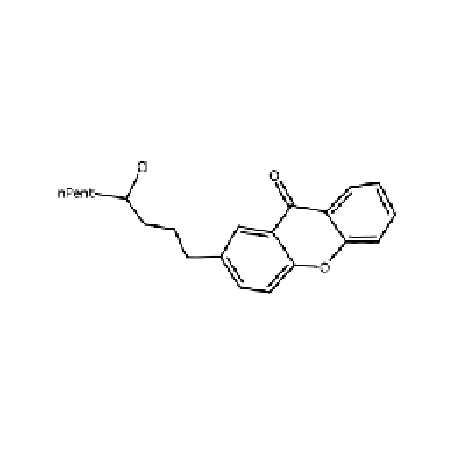 CCCCCC(Cl)CCCc1ccc2oc3ccccc3c(=O)c2c1